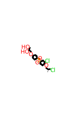 C[C@@H](CCl)COc1ccc(S(=O)(=O)c2ccc(OC[C@H](O)CO)cc2)cc1Cl